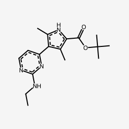 CCNc1nccc(-c2c(C)[nH]c(C(=O)OC(C)(C)C)c2C)n1